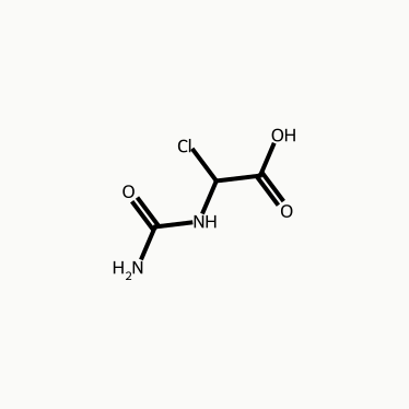 NC(=O)NC(Cl)C(=O)O